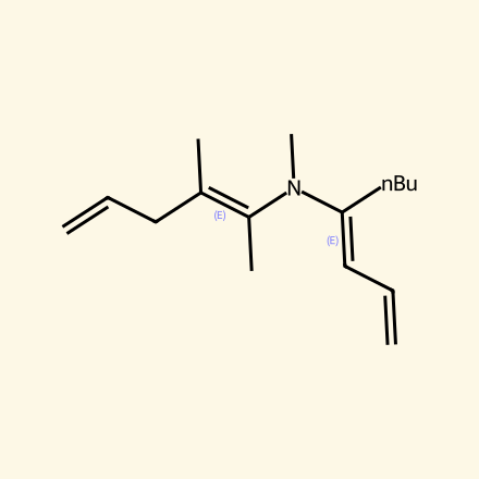 C=C/C=C(\CCCC)N(C)/C(C)=C(\C)CC=C